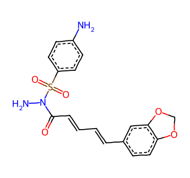 Nc1ccc(S(=O)(=O)N(N)C(=O)C=CC=Cc2ccc3c(c2)OCO3)cc1